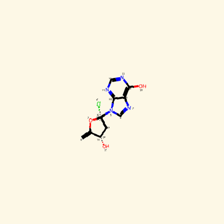 C=C1O[C@@](Cl)(n2cnc3c(O)ncnc32)C[C@@H]1O